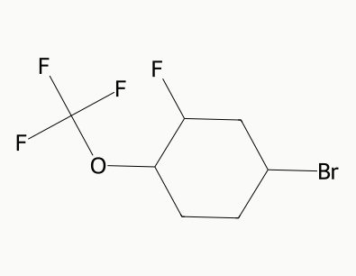 FC1CC(Br)CCC1OC(F)(F)F